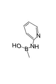 CB(O)Nc1ccccn1